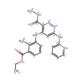 CCOC(=O)c1cccc(Nc2cc(Nc3ccccn3)nnc2C(=O)NC)c1C